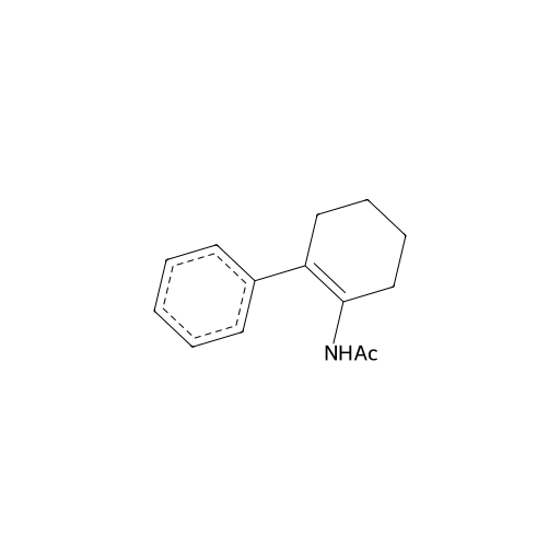 CC(=O)NC1=C(c2ccccc2)CCCC1